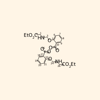 CCOC(=O)CNCOc1ccccc1C(=O)OOC(=O)c1ccccc1OCNCC(=O)OCC